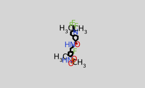 Cc1cc(CCNC(=O)[C@H]2CCc3nc(C(C)(C)C(F)(F)F)ccc3C2)c(F)cc1NS(C)(=O)=O